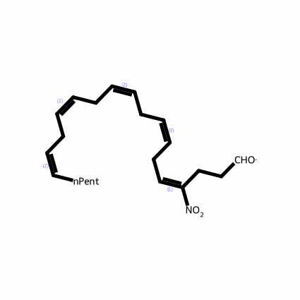 CCCCC/C=C\C/C=C\C/C=C\C/C=C\C/C=C(\CC[C]=O)[N+](=O)[O-]